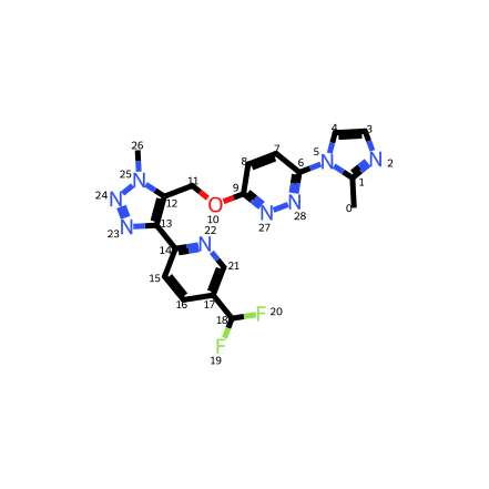 Cc1nccn1-c1ccc(OCc2c(-c3ccc(C(F)F)cn3)nnn2C)nn1